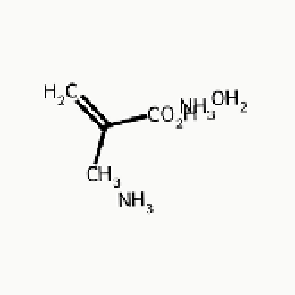 C=C(C)C(=O)O.N.N.O